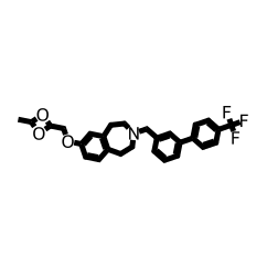 CC1OC(COc2ccc3c(c2)CCN(Cc2cccc(-c4ccc(C(F)(F)F)cc4)c2)CC3)O1